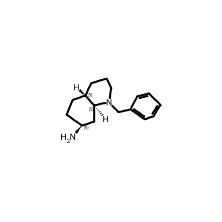 N[C@H]1CC[C@@H]2CCCN(Cc3ccccc3)[C@H]2C1